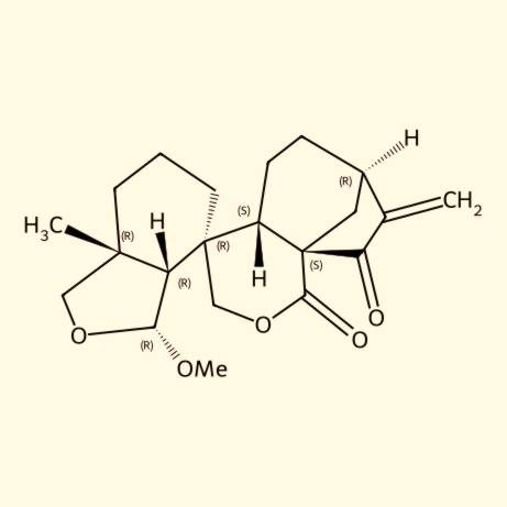 C=C1C(=O)[C@]23C[C@H]1CC[C@H]2[C@@]1(CCC[C@@]2(C)CO[C@@H](OC)[C@H]21)COC3=O